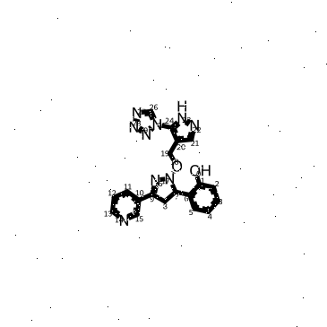 Oc1ccccc1C1CC(c2cccnc2)=NN1OCc1cn[nH]c1-n1cnnn1